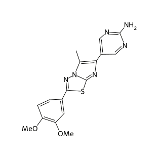 COc1ccc(-c2nn3c(C)c(-c4cnc(N)nc4)nc3s2)cc1OC